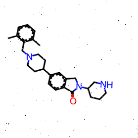 Cc1cccc(C)c1CN1CCC(c2ccc3c(c2)CN(C2CCCNC2)C3=O)CC1